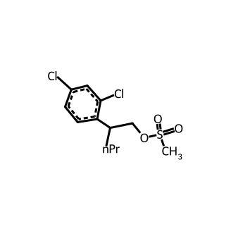 CCCC(COS(C)(=O)=O)c1ccc(Cl)cc1Cl